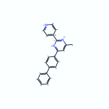 Cc1cc(-c2ccc(-c3ccccc3)cc2)nc(-c2ccncc2)n1